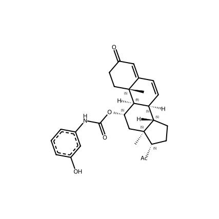 CC(=O)[C@H]1CC[C@H]2[C@@H]3C=CC4=CC(=O)CC[C@@]4(C)[C@@H]3[C@@H](OC(=O)Nc3cccc(O)c3)C[C@]12C